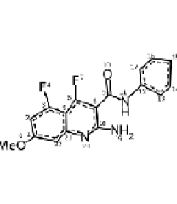 COc1cc(F)c2c(F)c(C(=O)Nc3ccccc3)c(N)nc2c1